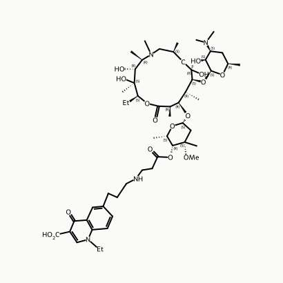 CC[C@@H]1OC(=O)[C@H](C)[C@H](O[C@@H]2C[C@](C)(OC)[C@H](OC(=O)CCNCCCc3ccc4c(c3)c(=O)c(C(=O)O)cn4CC)[C@H](C)O2)[C@@H](C)[C@H](O[C@@H]2O[C@H](C)C[C@H](N(C)C)[C@@H]2O)[C@](C)(O)C[C@H](C)CN(C)[C@H](C)[C@@H](O)[C@]1(C)O